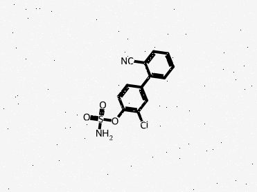 N#Cc1ccccc1-c1ccc(OS(N)(=O)=O)c(Cl)c1